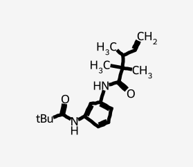 C=CC(C)C(C)(C)C(=O)Nc1cccc(NC(=O)C(C)(C)C)c1